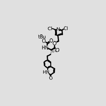 CC(C)(C)OC(=O)N[C@@H](CCc1ccc2[nH]c(=O)ccc2c1)C(=O)OCc1cc(Cl)nc(Cl)c1